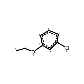 CCOc1cc[c]c(Cl)c1